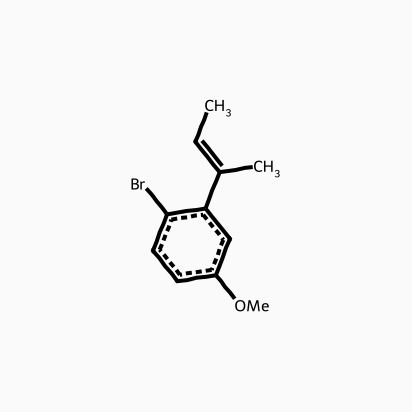 CC=C(C)c1cc(OC)ccc1Br